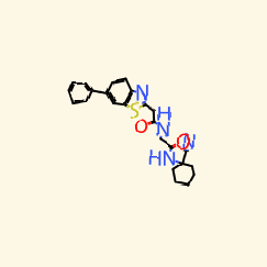 N#CC1(NC(=O)CNC(=O)Cc2nc3ccc(-c4ccccc4)cc3s2)CCCCC1